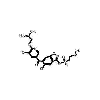 COCCS(=O)(=O)Nc1noc2cc(C(=O)c3cnc(OCC(C)C)c(Cl)c3)c(Cl)cc12